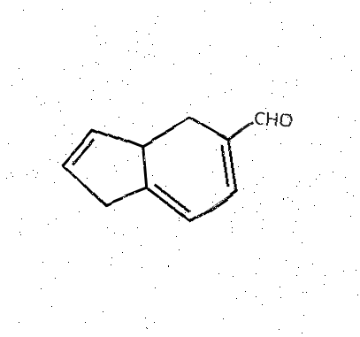 O=CC1=CC=C2CC=CC2C1